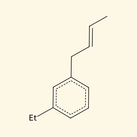 CC=CCc1cccc(CC)c1